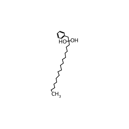 CCCCCCCCCCCCCCCCCC(O)(O)Cc1ccccc1